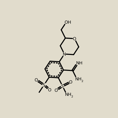 CS(=O)(=O)c1ccc(N2CCOC(CO)C2)c(C(=N)N)c1S(N)(=O)=O